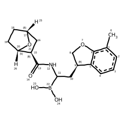 Cc1cccc2c1OC[C@@H]2CC(NC(=O)[C@@H]1C[C@H]2CC[C@@H]1O2)B(O)O